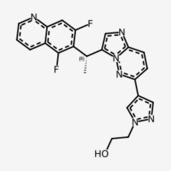 C[C@H](c1c(F)cc2ncccc2c1F)c1cnc2ccc(-c3cnn(CCO)c3)nn12